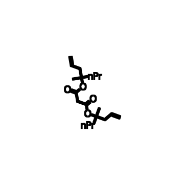 C=CCC(C)(CCC)OC(=O)CC(=O)OC(C)(CC=C)CCC